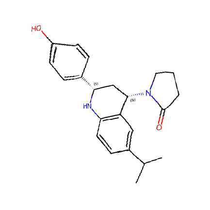 CC(C)c1ccc2c(c1)[C@@H](N1CCCC1=O)C[C@@H](c1ccc(O)cc1)N2